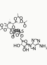 CC(=O)OC[C@@H](OC(C)=O)C1O[C@@H](OP(=O)(O)OP(O)(=S)OC[C@H]2O[C@@H](n3cnc4c(N)ncnc43)[C@@H](O)C2O)C(OC(C)=O)[C@@H](C)[C@@H]1C